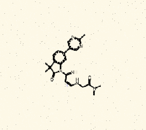 Cc1ncc(-c2ccc3c(c2)N(C(=N)/C=C\NCC(=O)N(C)C)C(=O)C3(C)C)cn1